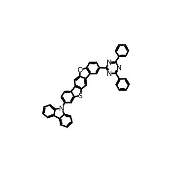 c1ccc(-c2nc(-c3ccccc3)nc(-c3ccc4oc5cc6c(cc5c4c3)sc3cc(-n4c5ccccc5c5ccccc54)ccc36)n2)cc1